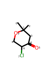 CC1(C)CC(=O)C(Cl)CO1